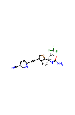 C[C@@]1(c2cc(C#Cc3ccc(C#N)cn3)cs2)C[C@@H](C(F)(F)F)OC(N)=N1